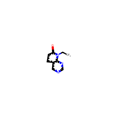 O=c1ccc2cncnc2n1CC(F)(F)F